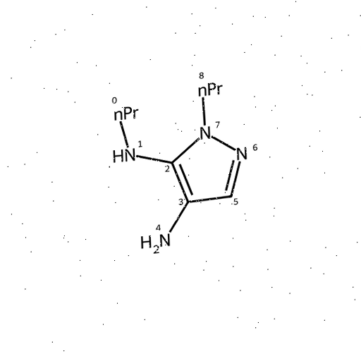 CCCNc1c(N)cnn1CCC